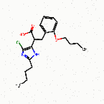 CCCCOc1ccccc1CC(C(=O)O)c1[nH]c(CCCC)nc1Cl